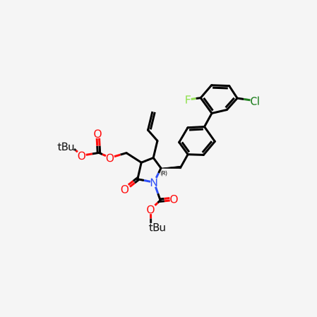 C=CCC1C(COC(=O)OC(C)(C)C)C(=O)N(C(=O)OC(C)(C)C)[C@@H]1Cc1ccc(-c2cc(Cl)ccc2F)cc1